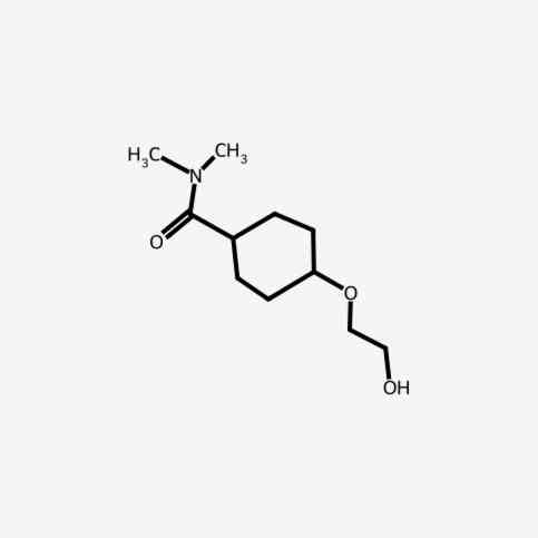 CN(C)C(=O)C1CCC(OCCO)CC1